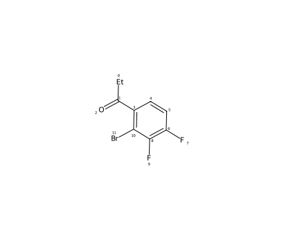 CCC(=O)c1ccc(F)c(F)c1Br